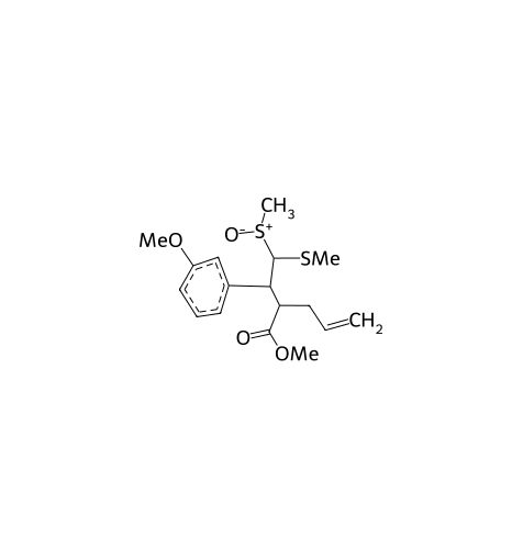 C=CCC(C(=O)OC)C(c1cccc(OC)c1)C(SC)[S+](C)[O-]